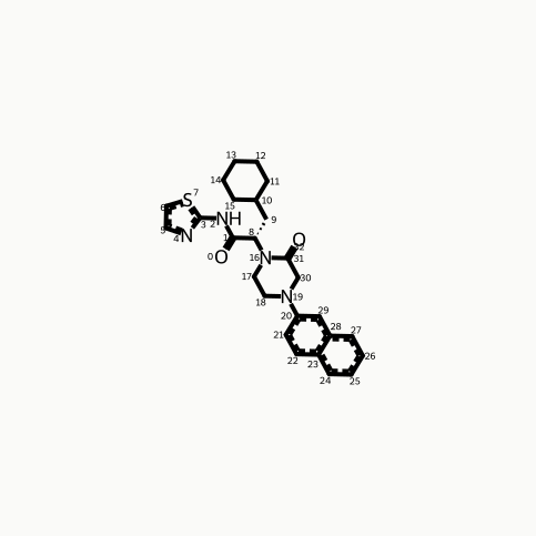 O=C(Nc1nccs1)[C@H](CC1CCCCC1)N1CCN(c2ccc3ccccc3c2)CC1=O